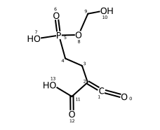 O=C=C(CCP(=O)(O)OCO)C(=O)O